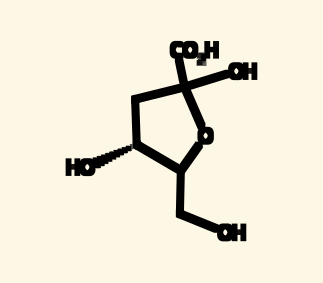 O=C(O)C1(O)C[C@@H](O)C(CO)O1